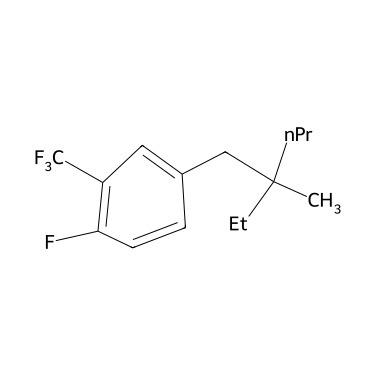 CCCC(C)(CC)Cc1ccc(F)c(C(F)(F)F)c1